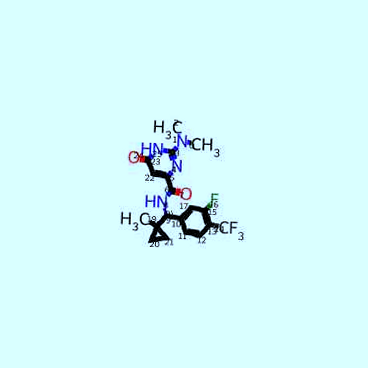 CN(C)c1nc(C(=O)N[C@@H](c2ccc(C(F)(F)F)c(F)c2)C2(C)CC2)cc(=O)[nH]1